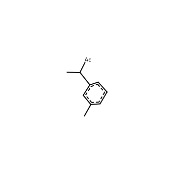 CC(=O)C(C)c1cccc(C)c1